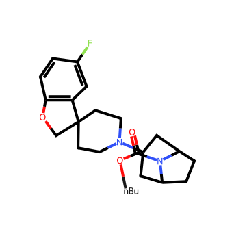 CCCCOC(=O)N1C2CCC1CC(N1CCC3(CC1)COc1ccc(F)cc13)C2